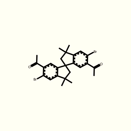 CC(=O)c1cc2c(cc1Br)C(C)(C)CC21CC(C)(C)c2cc(Br)c(C(C)=O)cc21